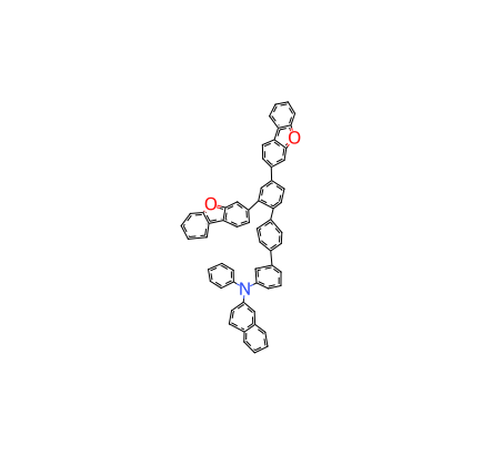 c1ccc(N(c2cccc(-c3ccc(-c4ccc(-c5ccc6c(c5)oc5ccccc56)cc4-c4ccc5c(c4)oc4ccccc45)cc3)c2)c2ccc3ccccc3c2)cc1